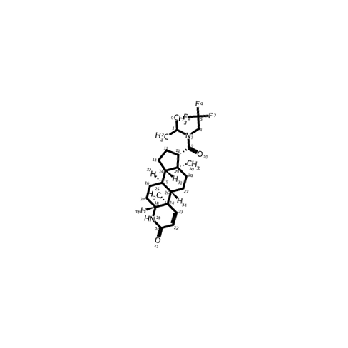 CC(C)N(CC(F)(F)F)C(=O)[C@H]1CC[C@H]2[C@@H]3CC[C@H]4NC(=O)C=C[C@]4(C)[C@H]3CC[C@]12C